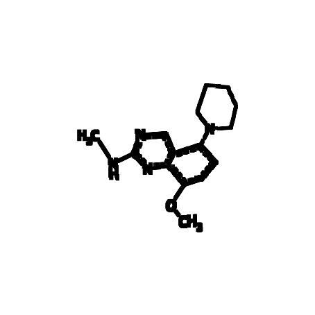 CNc1ncc2c(N3CCCCC3)ccc(OC)c2n1